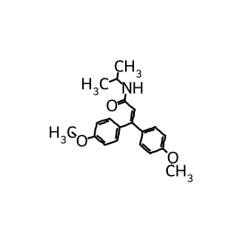 COc1ccc(C(=CC(=O)NC(C)C)c2ccc(OC)cc2)cc1